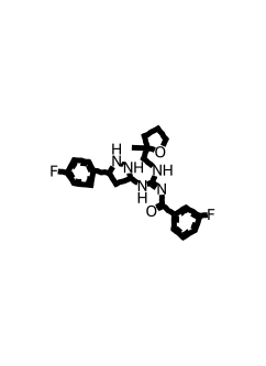 CC1(CN/C(=N/C(=O)c2cccc(F)c2)NC2CC(c3ccc(F)cc3)NN2)CCCO1